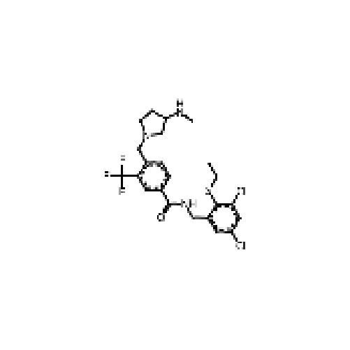 CCSc1c(Cl)cc(Cl)cc1CNC(=O)c1ccc(CN2CCC(NC)C2)c(C(F)(F)F)c1